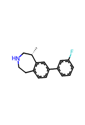 C[C@H]1CNCCc2ccc(-c3cccc(F)c3)cc21